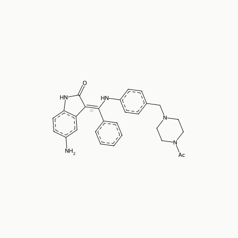 CC(=O)N1CCN(Cc2ccc(N/C(=C3\C(=O)Nc4ccc(N)cc43)c3ccccc3)cc2)CC1